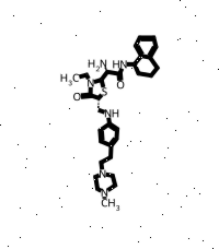 CCN1C(=O)[C@@H](CNc2ccc(CCN3CCN(C)CC3)cc2)SC1[C@H](N)C(=O)NC1CCCc2ccccc21